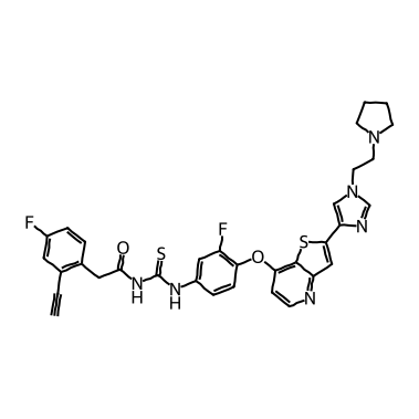 C#Cc1cc(F)ccc1CC(=O)NC(=S)Nc1ccc(Oc2ccnc3cc(-c4cn(CCN5CCCC5)cn4)sc23)c(F)c1